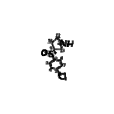 [O-][S+](c1ccc(Cl)cc1)C1CCNC1